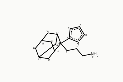 NCCCC1(c2cccs2)C2CC3CC(C2)CC1C3